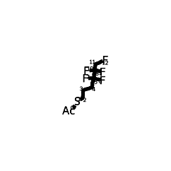 CC(=O)SCCCC(F)(F)C(F)(F)CF